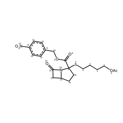 CC(=O)OCCCCSC1(C(=O)OCc2ccc([N+](=O)[O-])cc2)CCC2CC(=O)N21